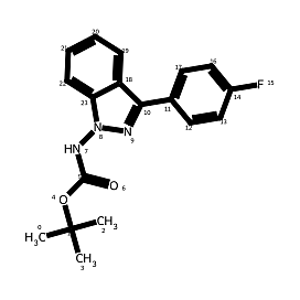 CC(C)(C)OC(=O)Nn1nc(-c2ccc(F)cc2)c2c[c]ccc21